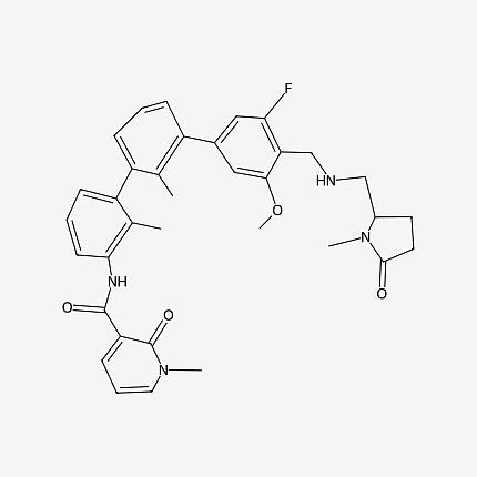 COc1cc(-c2cccc(-c3cccc(NC(=O)c4cccn(C)c4=O)c3C)c2C)cc(F)c1CNCC1CCC(=O)N1C